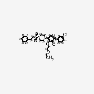 CCOCCOc1c(N2CCN(S(=O)(=O)CCc3ccccc3)CC2)cnn(-c2cccc(Cl)c2)c1=O